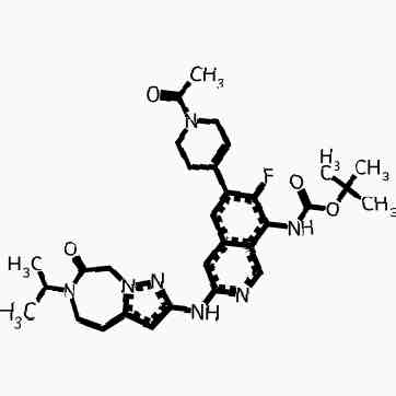 CC(=O)N1CC=C(c2cc3cc(Nc4cc5n(n4)CC(=O)N(C(C)C)CC5)ncc3c(NC(=O)OC(C)(C)C)c2F)CC1